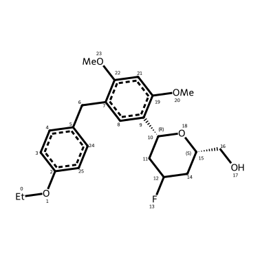 CCOc1ccc(Cc2cc([C@H]3CC(F)C[C@@H](CO)O3)c(OC)cc2OC)cc1